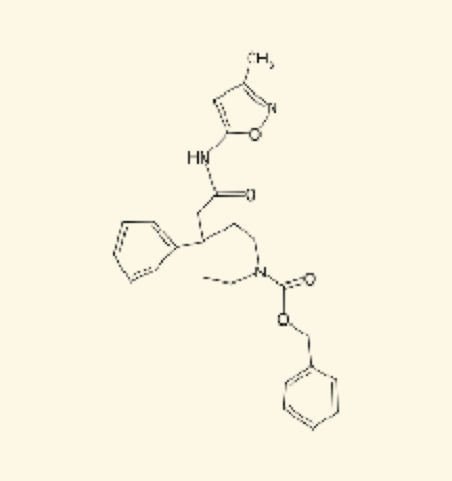 Cc1cc(NC(=O)CC2(c3ccccc3)CCN(C(=O)OCc3ccccc3)CC2)on1